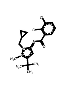 Cn1c(C(C)(C)C)c/c(=N\C(=O)c2cccc(Cl)c2Cl)n1CC1CC1